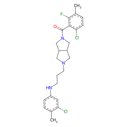 Cc1ccc(NCCCN2CC3CN(C(=O)c4c(Cl)ccc(C)c4F)CC3C2)cc1Cl